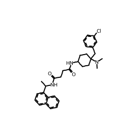 CC(NC(=O)CCC(=O)NC1CCC(Cc2cccc(Cl)c2)(N(C)C)CC1)c1cccc2ccccc12